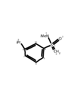 C=S(=O)(NC)c1cccc(C(C)C)c1